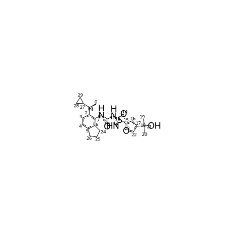 C[C@@H](c1ccc2c(c1NC(=O)NS(=N)(=O)c1cc(C(C)(C)O)co1)CCC2)C1CC1